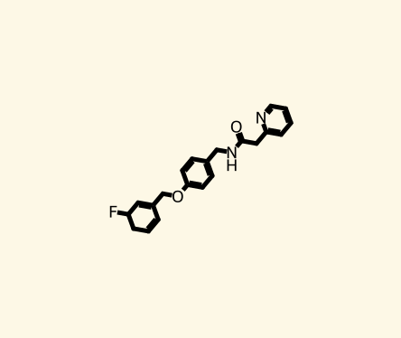 O=C(Cc1ccccn1)NCc1ccc(OCC2=CC(F)CC=C2)cc1